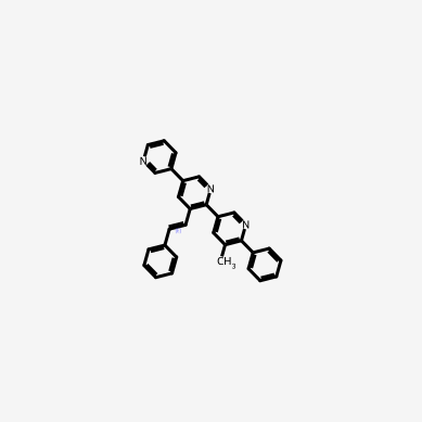 Cc1cc(-c2ncc(-c3cccnc3)cc2/C=C/c2ccccc2)cnc1-c1ccccc1